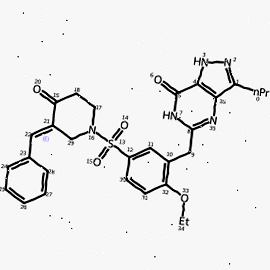 CCCc1n[nH]c2c(=O)[nH]c(Cc3cc(S(=O)(=O)N4CCC(=O)/C(=C/c5ccccc5)C4)ccc3OCC)nc12